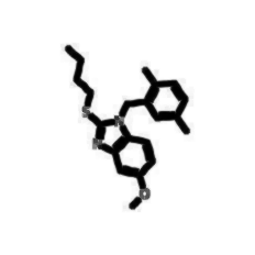 CCCCSc1nc2cc(OC)ccc2n1Cc1cc(C)ccc1C